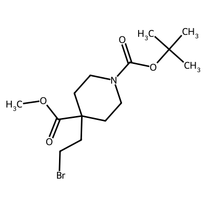 COC(=O)C1(CCBr)CCN(C(=O)OC(C)(C)C)CC1